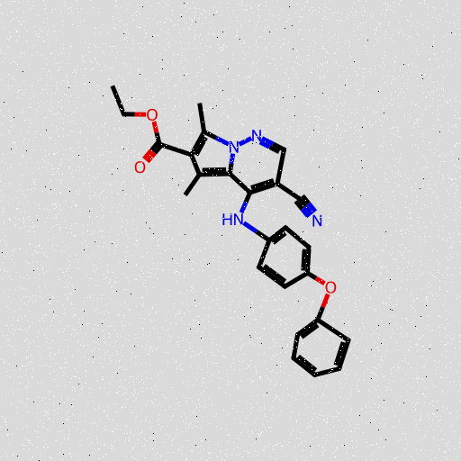 CCOC(=O)c1c(C)c2c(Nc3ccc(Oc4ccccc4)cc3)c(C#N)cnn2c1C